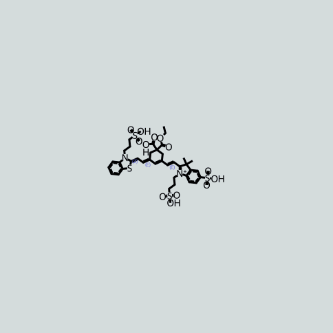 CCOC(=O)C1(C(=O)O)CC(/C=C/C2=[N+](CCCS(=O)(=O)O)c3ccc(S(=O)(=O)O)cc3C2(C)C)=CC(=C/C=C2\Sc3ccccc3N2CCCS(=O)(=O)O)/C1